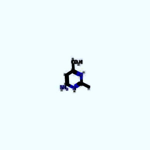 Cc1nccc(C(=O)O)n1.N